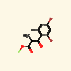 Cc1cc(Br)cc(Br)c1C(=O)C(C(=O)O)C(=O)OF